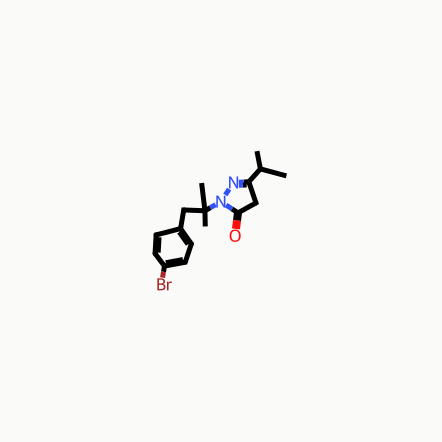 CC(C)C1=NN(C(C)(C)Cc2ccc(Br)cc2)C(=O)C1